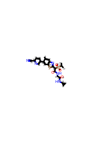 Cc1cc2nc(C(C(=O)NCC(=O)NC3CC3)S(=O)(=O)C(C)C)sc2cc1-c1ccc(C#N)nc1